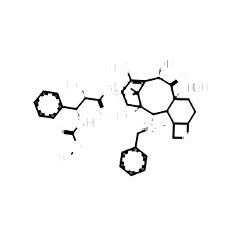 CC(=O)O[C@@]12COC1C[C@@H](O)[C@@]1(C)C(=O)[C@H](O)C3=C(C)[C@@H](OC(=O)[C@H](O)[C@@H](NC(=O)OC(C)(C)C)c4ccccc4)C[C@@](O)([C@@H](OCc4ccccc4)C21)C3(C)C